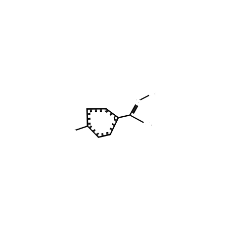 N#CC(=NO)c1ccc(Cl)cc1